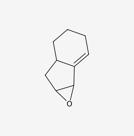 C1=C2C(CCC1)CC1OC21